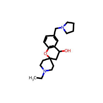 CCN1CCC2(CC1)CC(O)c1cc(CN3CCCC3)ccc1O2